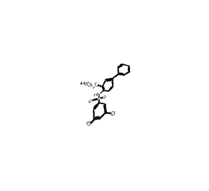 O=C(O)c1cc(-c2ccccc2)ccc1NS(=O)(=O)c1cc(Cl)cc(Cl)c1